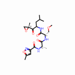 COC[C@H](NC(=O)[C@H](C)NC(=O)c1cc(C)on1)C(=O)NC(CC(C)C)C(=O)[C@@]1(C)CO1